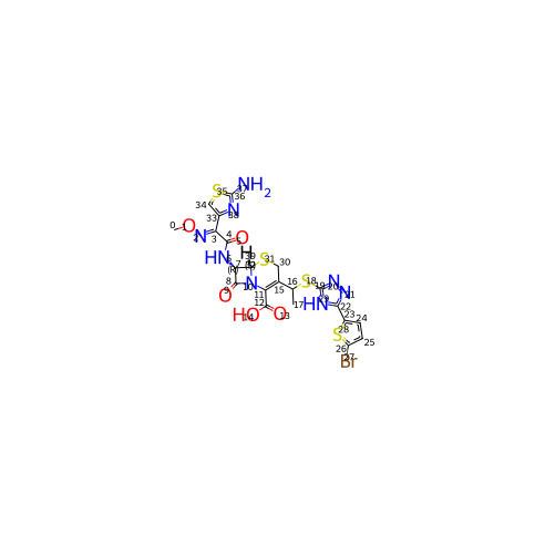 CON=C(C(=O)N[C@@H]1C(=O)N2C(C(=O)O)=C(C(C)Sc3nnc(-c4ccc(Br)s4)[nH]3)CS[C@@H]12)c1csc(N)n1